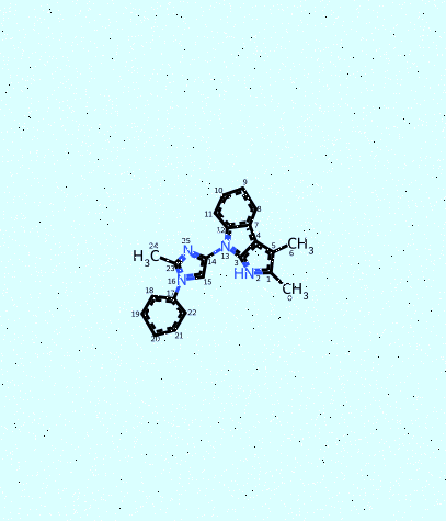 Cc1[nH]c2c(c1C)c1ccccc1n2-c1cn(-c2ccccc2)c(C)n1